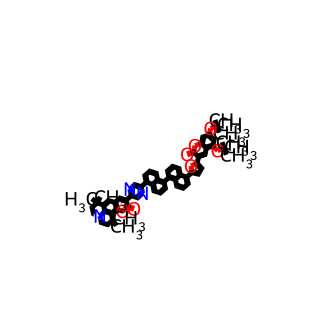 CC(C)(C)Oc1cc(OC(C)(C)C)c2cc(-c3ccc(-c4cccc5c(-c6cccc7c(-c8cnc(-c9cc%10cc%11c%12c(c%10oc9=O)C(C)(C)CCN%12CCC%11(C)C)cn8)cccc67)cccc45)o3)c(=O)oc2c1